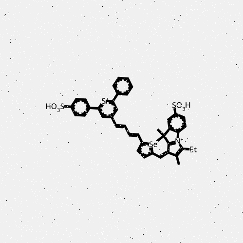 CCC1=C(C)/C(=C/c2ccc(/C=C/C=C/c3cc(-c4ccccc4)[s+]c(-c4ccc(S(=O)(=O)O)cc4)c3)[se]2)C2=[N+]1c1ccc(S(=O)(=O)O)cc1C2(C)C